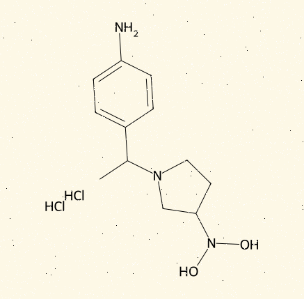 CC(c1ccc(N)cc1)N1CCC(N(O)O)C1.Cl.Cl